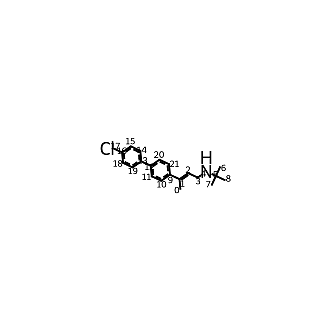 CC(=CCNC(C)(C)C)c1ccc(-c2ccc(Cl)cc2)cc1